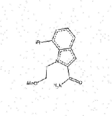 COCCn1c(C(N)=O)cc2cccc(C(C)C)c21